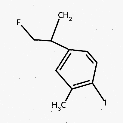 [CH2]C(CF)c1ccc(I)c(C)c1